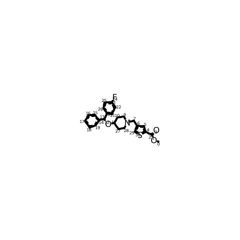 COC(=O)c1cc(CN2CCC(OC(c3ccccc3)c3ccc(F)cc3)CC2)cs1